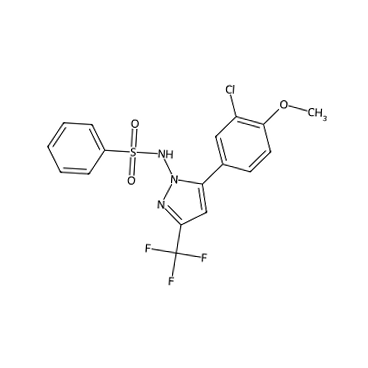 COc1ccc(-c2cc(C(F)(F)F)nn2NS(=O)(=O)c2ccccc2)cc1Cl